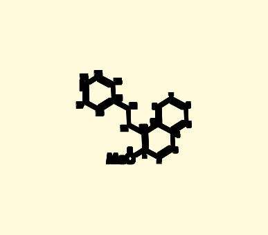 COc1ccc2ccccc2c1CCc1ccncc1